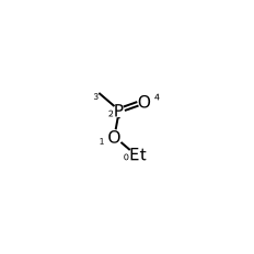 CCO[P](C)=O